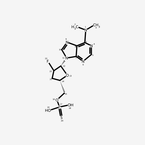 CN(C)c1ncnc2c1ncn2[C@@H]1O[C@H](COP(O)(O)=S)CC1F